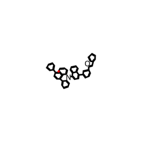 c1ccc(-c2ccc(-c3ccccc3N(c3ccccc3)c3ccc(-c4cccc(-c5cc6ccccc6o5)c4)c4ccccc34)cc2)cc1